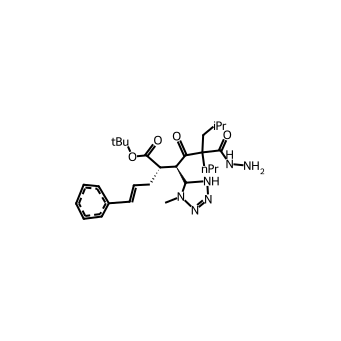 CCCC(CC(C)C)(C(=O)NN)C(=O)[C@@H](C1NN=NN1C)[C@H](C/C=C/c1ccccc1)C(=O)OC(C)(C)C